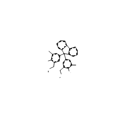 CCOCc1cc(C2(c3cc(C)c(O)c(COCC)c3)c3ccccc3-c3ccccc32)cc(C)c1O